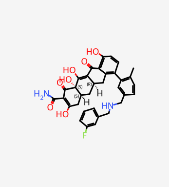 Cc1ccc(CNCc2cccc(F)c2)cc1-c1ccc(O)c2c1C[C@H]1C[C@H]3CC(O)=C(C(N)=O)C(=O)[C@@]3(O)C(O)=C1C2=O